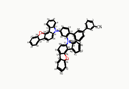 N#Cc1cccc(-c2ccc(C#N)c(-c3ccc(-n4c5ccccc5c5c6oc7ccccc7c6ccc54)cc3-n3c4ccccc4c4c5oc6ccccc6c5ccc43)c2)c1